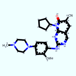 COc1cc(N2CCN(C)CC2)ccc1Nc1ncc2cc(C#N)c(=O)n(C3CCCC3)c2n1